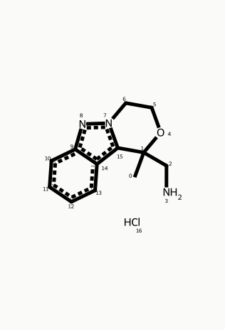 CC1(CN)OCCn2nc3ccccc3c21.Cl